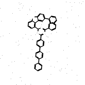 c1ccc(C2=NC(c3cccc4oc5ccc(-c6ccccc6)cc5c34)NC(c3ccc(-c4ccc(-c5ccccc5)cc4)cc3)=N2)cc1